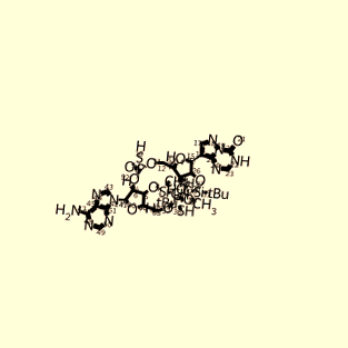 CC(C)(C)[Si](C)(C)OC1[C@H]2OP(=O)(S)OC[C@H]3O[C@@H](c4cnn5c(=O)[nH]cnc45)C(O[Si](C)(C)C(C)(C)C)[C@@H]3OP(=O)(S)OC[C@H]1O[C@H]2n1cnc2c(N)ncnc21